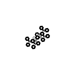 c1ccc(N(c2ccccc2)c2cc3c4c(c2)N(c2ccccc2)c2ccccc2B4c2cc4c5c(c2O3)CCCN5c2cc(N(c3ccccc3)c3ccccc3)cc3c2B4c2ccccc2N3c2ccccc2)cc1